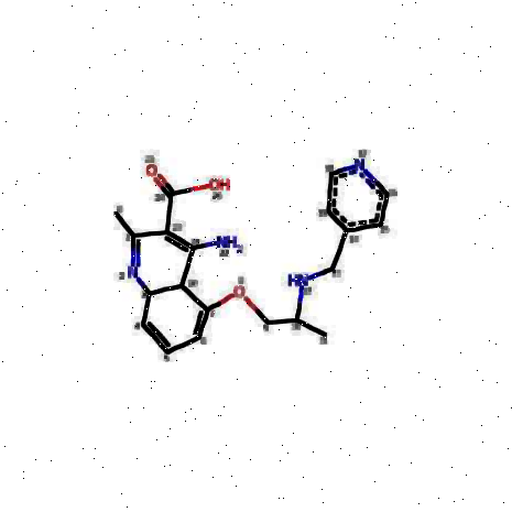 CC1=NC2C=CC=C(OCC(C)NCc3ccncc3)C2C(N)=C1C(=O)O